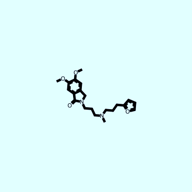 COc1cc2c(cc1OC)C(=O)N(CCCN(C)CCCc1ccco1)C2